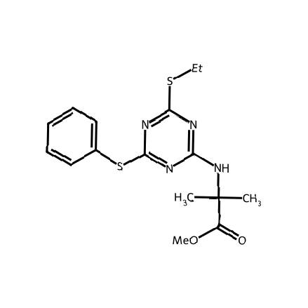 CCSc1nc(NC(C)(C)C(=O)OC)nc(Sc2ccccc2)n1